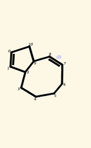 C1=CC2CCCC/C=C\C2C1